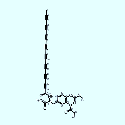 CC#CC#CC#CC#CC#CC#CC#CC#CC(=O)N[C@@H](Cc1ccc(OC(=O)CC)c(OC(=O)CC)c1)C(=O)O